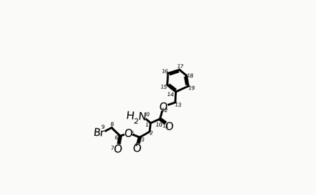 NC(CC(=O)OC(=O)CBr)C(=O)OCc1ccccc1